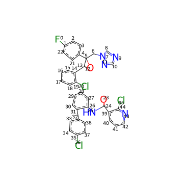 Fc1ccc(C2(Cn3cncn3)OC2c2ccccc2Cl)cc1.O=C(Nc1ccccc1-c1ccc(Cl)cc1)c1cccnc1Cl